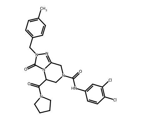 Cc1ccc(Cn2nc3n(c2=O)C(C(=O)N2CCCC2)CN(C(=O)Nc2ccc(Cl)c(Cl)c2)C3)cc1